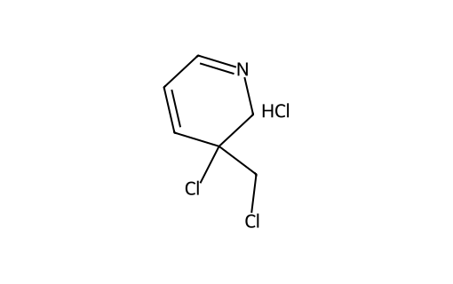 Cl.ClCC1(Cl)C=CC=NC1